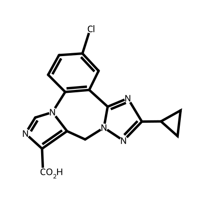 O=C(O)c1ncn2c1Cn1nc(C3CC3)nc1-c1cc(Cl)ccc1-2